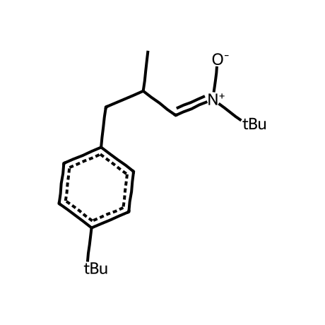 CC(C=[N+]([O-])C(C)(C)C)Cc1ccc(C(C)(C)C)cc1